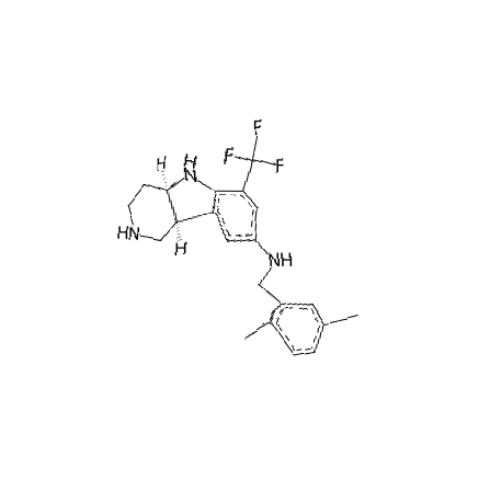 Cc1ccc(C)c(CNc2cc3c(c(C(F)(F)F)c2)N[C@@H]2CCNC[C@H]32)c1